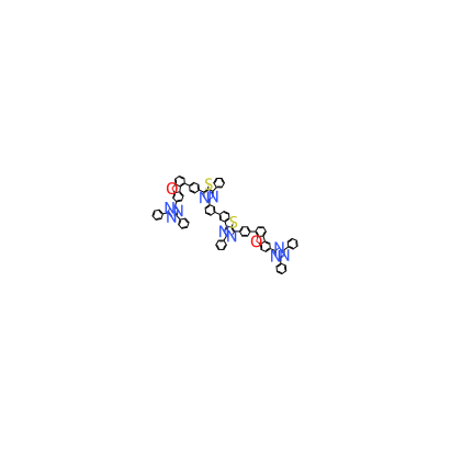 c1ccc(-c2nc(-c3ccccc3)nc(-c3ccc4c(c3)oc3cccc(-c5ccc(-c6nc(-c7cccc(-c8ccc9sc%10c(-c%11ccc(-c%12cccc%13c%12oc%12ccc(-c%14nc(-c%15ccccc%15)nc(-c%15ccccc%15)n%14)cc%12%13)cc%11)nc(-c%11ccccc%11)nc%10c9c8)c7)nc7c6sc6ccccc67)cc5)c34)n2)cc1